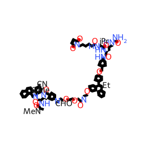 CC/C(=C(/c1ccc(OCCN(C)C(=O)COCCOCCN(C=O)c2ccc(C(=O)N3c4cc(C#N)ccc4N(Cc4c(OC)ccc5ccccc45)C(=O)[C@@H](NC(=O)[C@H](C)NC)[C@@H]3C)cc2)cc1)c1ccc(OCc2ccc(NC(=O)[C@H](CCCNC(N)=O)NC(=O)[C@@H](NC(=O)CCCCCN3C(=O)C=CC3=O)C(C)C)cc2)cc1)c1ccccc1